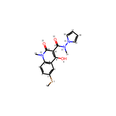 CSc1ccc2c(c1)c(O)c(C(=O)N(C)n1cccc1)c(=O)n2C